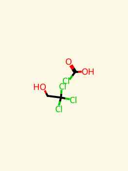 O=C(O)Cl.OCC(Cl)(Cl)Cl